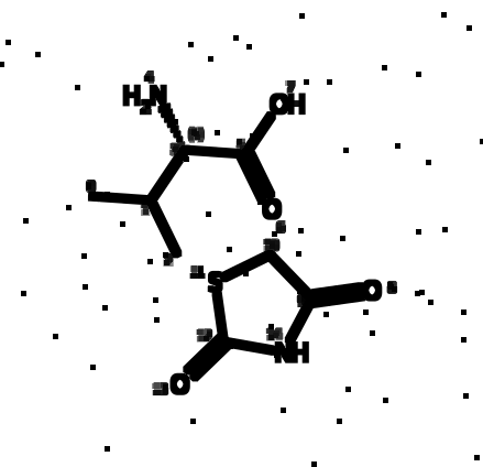 CC(C)[C@H](N)C(=O)O.O=C1CSC(=O)N1